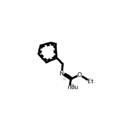 CCCC/C(=N/Cc1ccccc1)OCC